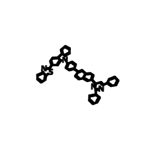 c1ccc(-c2cc(-c3ccc4cc(-c5ccc(-n6c7ccccc7c7ccc(-c8nc9ccccc9s8)cc76)cc5)ccc4c3)nc(-c3ccccc3)n2)cc1